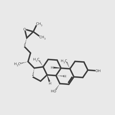 C[C@H](CC[C@@H]1OC1(C)C)[C@H]1CC[C@H]2[C@@H]3[C@@H](O)C=C4CC(O)CC[C@]4(C)[C@H]3CC[C@]12C